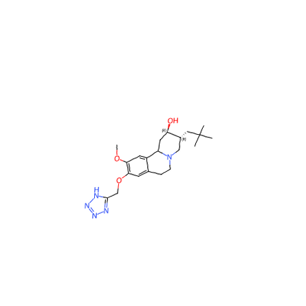 COc1cc2c(cc1OCc1nnn[nH]1)CCN1C[C@@H](CC(C)(C)C)[C@H](O)CC21